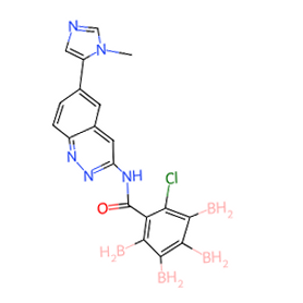 Bc1c(B)c(B)c(C(=O)Nc2cc3cc(-c4cncn4C)ccc3nn2)c(Cl)c1B